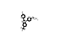 COc1ccc(-n2c(-c3ccc(F)cn3)nc3cc(C(F)(F)F)ccc32)cn1